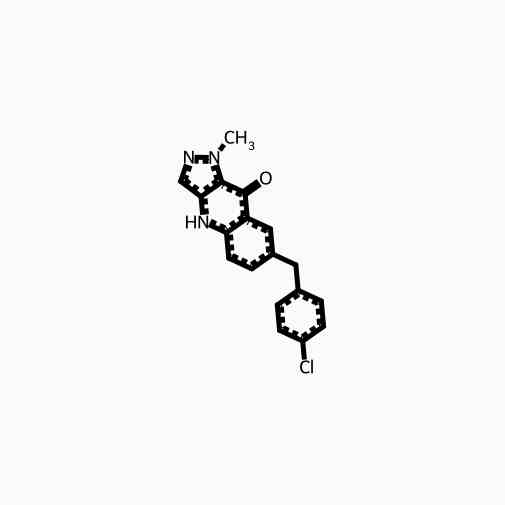 Cn1ncc2[nH]c3ccc(Cc4ccc(Cl)cc4)cc3c(=O)c21